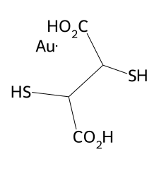 O=C(O)C(S)C(S)C(=O)O.[Au]